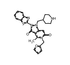 Cc1c2c(=O)n(-c3nc4ccccc4s3)n(CC3CCNCC3)c2cc(=O)n1Cc1ccco1